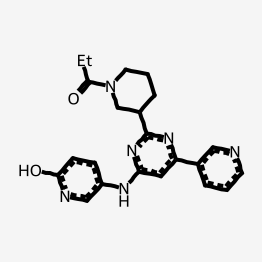 CCC(=O)N1CCCC(c2nc(Nc3ccc(O)nc3)cc(-c3cccnc3)n2)C1